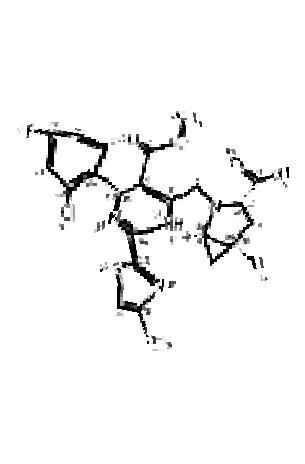 COC(=O)C1=C(CN2[C@@H]3C[C@@H]3C[C@H]2C(=O)O)NC(c2nc(C)cs2)=N[C@H]1c1ccc(F)cc1Cl